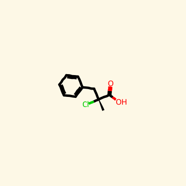 C[C@@](Cl)(Cc1ccccc1)C(=O)O